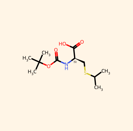 CC(C)SC[C@@H](NC(=O)OC(C)(C)C)C(=O)O